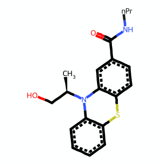 CCCNC(=O)c1ccc2c(c1)N([C@H](C)CO)c1ccccc1S2